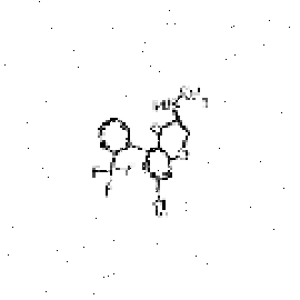 CNC1COc2cc(Cl)cc(-c3ccccc3C(F)(F)F)c2O1